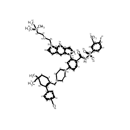 CC1(C)CCC(CN2CCN(c3ccc(C(=O)NS(=O)(=O)c4ccc(F)c([N+](=O)[O-])c4)c(-n4ncc5nc6c(ccn6COCC[Si](C)(C)C)cc54)c3)CC2)=C(c2ccc(Cl)cc2)C1